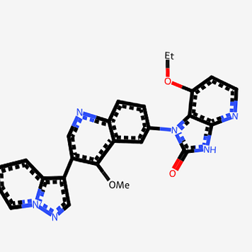 CCOc1ccnc2[nH]c(=O)n(-c3ccc4ncc(-c5cnn6ccccc56)c(OC)c4c3)c12